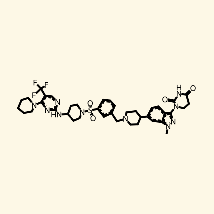 Cn1nc(N2CCC(=O)NC2=O)c2ccc(C3CCN(Cc4cccc(S(=O)(=O)N5CCC(Nc6ncc(C(F)(F)F)c(N7CCCCC7)n6)CC5)c4)CC3)cc21